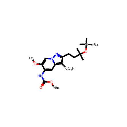 CCOc1cn2nc(CCC(C)(C)O[Si](C)(C)C(C)(C)C)c(C(=O)O)c2cc1NC(=O)OC(C)(C)C